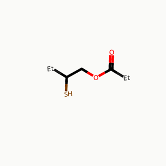 CCC(=O)OCC(S)CC